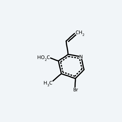 C=Cc1ncc(Br)c(C)c1C(=O)O